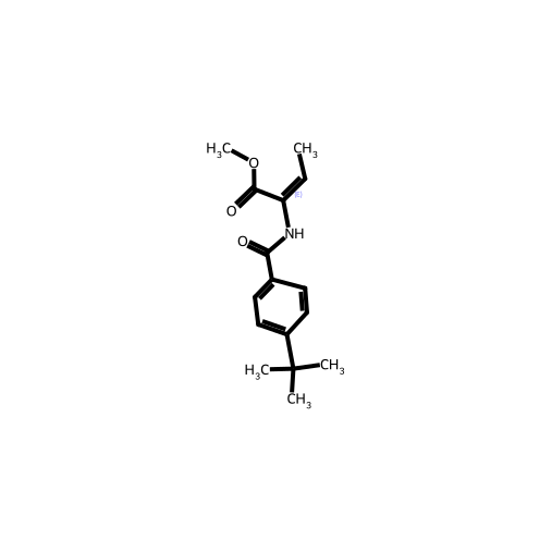 C/C=C(/NC(=O)c1ccc(C(C)(C)C)cc1)C(=O)OC